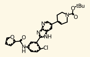 CC(C)(C)OC(=O)N1CC=C(c2cnc3nc(-c4cc(NC(=O)c5ccco5)ccc4Cl)[nH]c3c2)CC1